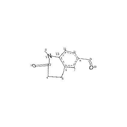 CN1C(=O)CCc2cc(C=O)ccc21